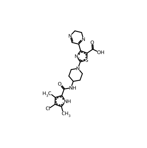 Cc1[nH]c(C(=O)NC2CCN(c3nc(C4=NCCN=C4)c(C(=O)O)s3)CC2)c(C)c1Cl